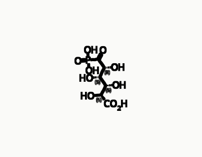 O=C(O)[C@@H](O)[C@@H](O)[C@H](O)[C@@H](O)C(=O)P(=O)(O)O